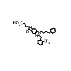 O=C(O)CCNC(=O)c1ccc2c(c1)nc(Cc1ccccc1C(F)(F)F)n2CCCCc1ccccc1